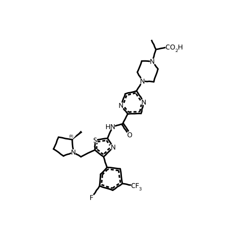 CC(C(=O)O)N1CCN(c2cnc(C(=O)Nc3nc(-c4cc(F)cc(C(F)(F)F)c4)c(CN4CCC[C@H]4C)s3)cn2)CC1